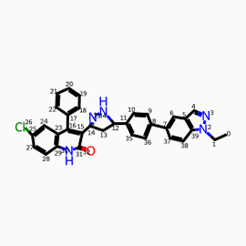 CCn1ncc2cc(-c3ccc(C4CC(c5c(-c6ccccc6)c6cc(Cl)ccc6[nH]c5=O)=NN4)cc3)ccc21